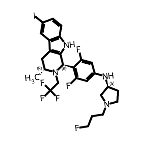 C[C@@H]1Cc2c([nH]c3ccc(I)cc23)[C@@H](c2c(F)cc(N[C@H]3CCN(CCCF)C3)cc2F)N1CC(F)(F)F